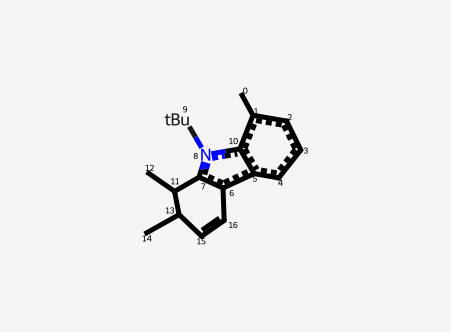 Cc1cccc2c3c(n(C(C)(C)C)c12)C(C)C(C)C=C3